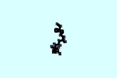 C=CC(=O)OCCC(C)CCCC(C)(C)N